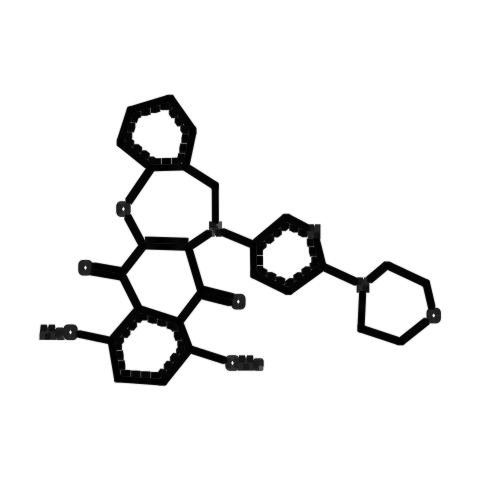 COc1ccc(OC)c2c1C(=O)C1=C(C2=O)N(c2ccc(N3CCOCC3)nc2)Cc2ccccc2O1